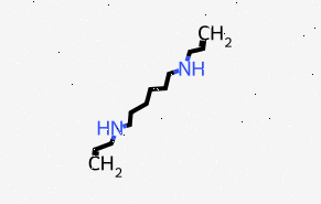 C=CCNCCCCCCNCC=C